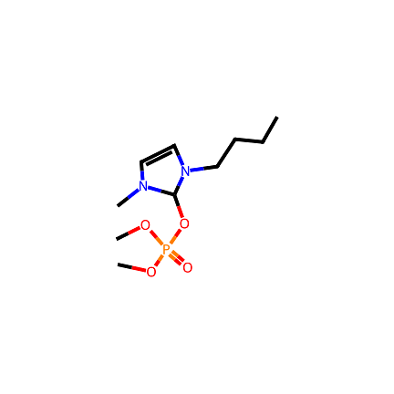 CCCCN1C=CN(C)C1OP(=O)(OC)OC